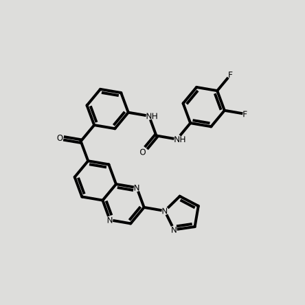 O=C(Nc1cccc(C(=O)c2ccc3ncc(-n4cccn4)nc3c2)c1)Nc1ccc(F)c(F)c1